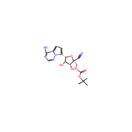 CC(C)(C)OC(=O)OC[C@@]1(C#N)O[C@@H](c2ccc3c(N)ncnn23)[C@H](O)[C@@H]1O